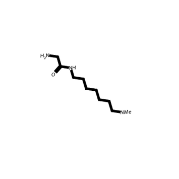 CNCCCCCCCNC(=O)CN